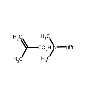 C=C(C)C(=O)O.CCCN(C)C